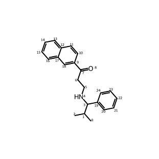 CC(C)C(NCCC(=O)c1ccc2ccccc2c1)c1ccccc1